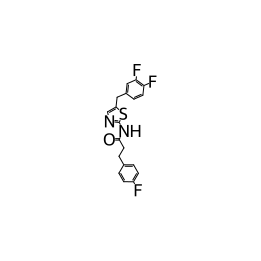 O=C(CCc1ccc(F)cc1)Nc1ncc(Cc2ccc(F)c(F)c2)s1